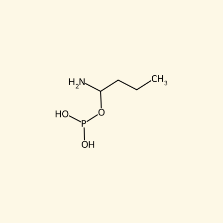 CCCC(N)OP(O)O